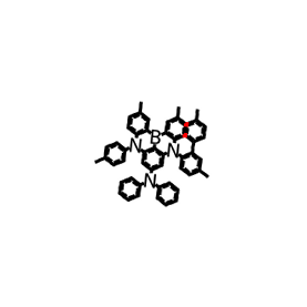 Cc1ccc(-c2cc(C)ccc2N2c3ccc(C)cc3B3c4cc(C)ccc4N(c4ccc(C)cc4)c4cc(N(c5ccccc5)c5ccccc5)cc2c43)cc1